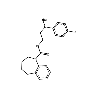 CC(C)(C)N(CCNC(=O)N1CCCCc2ccccc21)c1ccc(F)cc1